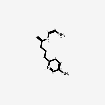 C=C(CCCC1CC=C(N)C=N1)O/C=C\N